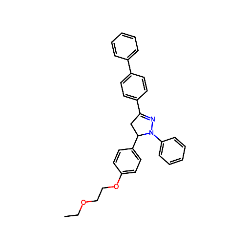 CCOCCOc1ccc(C2CC(c3ccc(-c4ccccc4)cc3)=NN2c2ccccc2)cc1